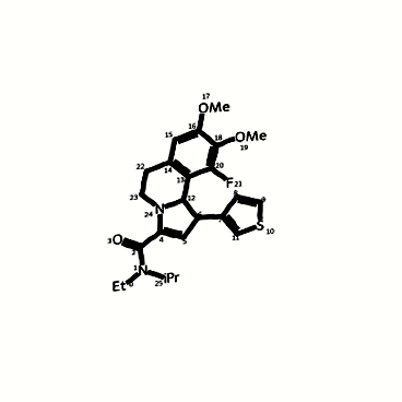 CCN(C(=O)C1=CC(c2ccsc2)C2c3c(cc(OC)c(OC)c3F)CCN12)C(C)C